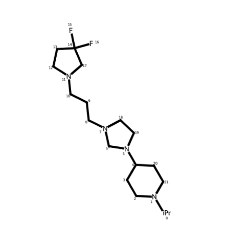 CC(C)N1CCC(N2[C]N(CCCN3CCC(F)(F)C3)CC2)CC1